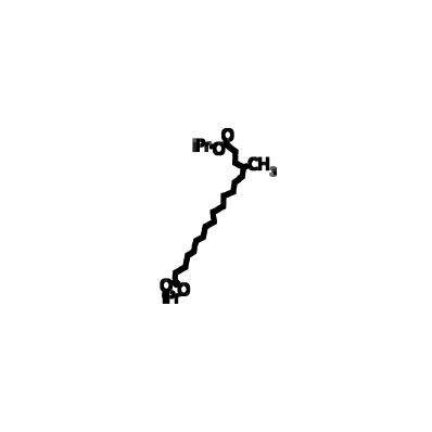 CC(CCCCCCCCCCCCCCC(=O)OC(C)C)CCC(=O)OC(C)C